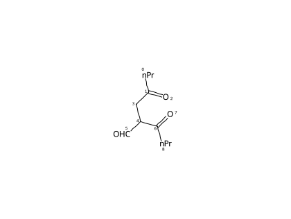 CCCC(=O)CC(C=O)C(=O)CCC